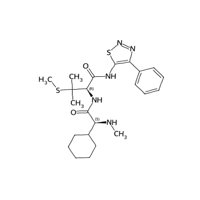 CN[C@H](C(=O)N[C@H](C(=O)Nc1snnc1-c1ccccc1)C(C)(C)SC)C1CCCCC1